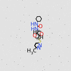 Cc1ccc(S[C@H]2CO[C@H]3[C@@H]2OC[C@@H]3NC(=O)NC2CCCCC2)nn1